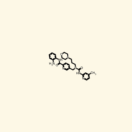 Cc1ccnc(NC(=O)N(CCCN2CCOCC2)Cc2ccc(C(=O)Nc3ccccc3N)nc2)c1